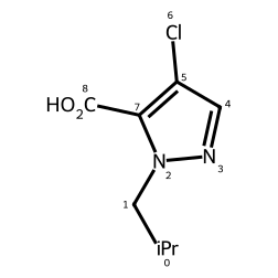 CC(C)Cn1ncc(Cl)c1C(=O)O